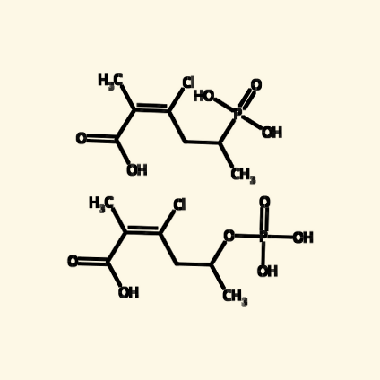 CC(C(=O)O)=C(Cl)CC(C)OP(=O)(O)O.CC(C(=O)O)=C(Cl)CC(C)P(=O)(O)O